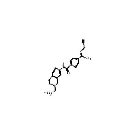 C#CCN=C(N)c1ccc(C(=O)Nc2ccc3c(c2)CN(CC(=O)OCC)CC3)cc1